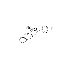 C[C@H](c1ccccc1)N(C[C@H](O)c1ccc(F)cc1)C(=O)CBr